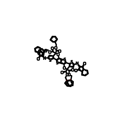 O=C(OCc1ccccc1)C1(C(=O)OCc2ccccc2)Oc2c(sc3c4c(sc23)-c2sc(N=c3c(=O)c5ccccc5c3=O)cc2C(C(=O)OCc2ccccc2)(C(=O)OCc2ccccc2)O4)-c2sc(N=c3c(=O)c4ccccc4c3=O)cc21